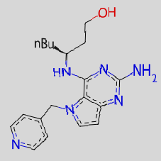 CCCC[C@@H](CCO)Nc1nc(N)nc2ccn(Cc3ccncc3)c12